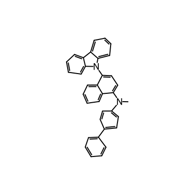 CN(c1ccc(-c2ccccc2)cc1)c1ccc(-n2c3ccccc3c3ccccc32)c2ccccc12